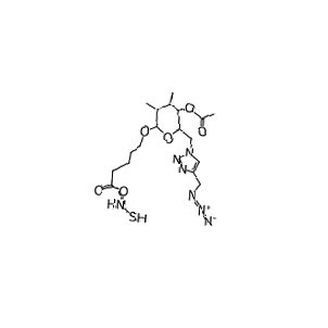 CC(=O)O[C@H]1C(Cn2cc(CN=[N+]=[N-])nn2)OC(OCCCCC(=O)ONS)C(C)[C@H]1C